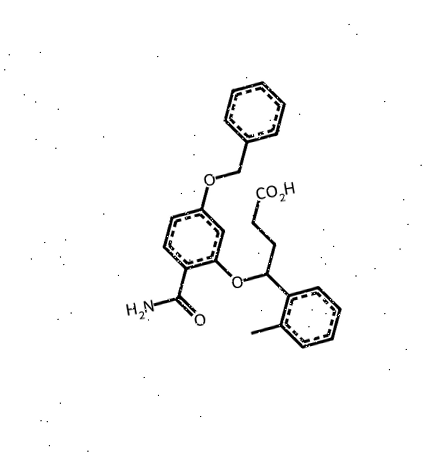 Cc1ccccc1C(CCC(=O)O)Oc1cc(OCc2ccccc2)ccc1C(N)=O